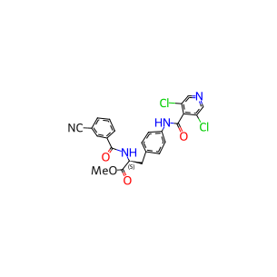 COC(=O)[C@H](Cc1ccc(NC(=O)c2c(Cl)cncc2Cl)cc1)NC(=O)c1cccc(C#N)c1